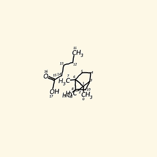 CC1(C)C2CCC1(C)C(O)C2.CCCCC(=O)O